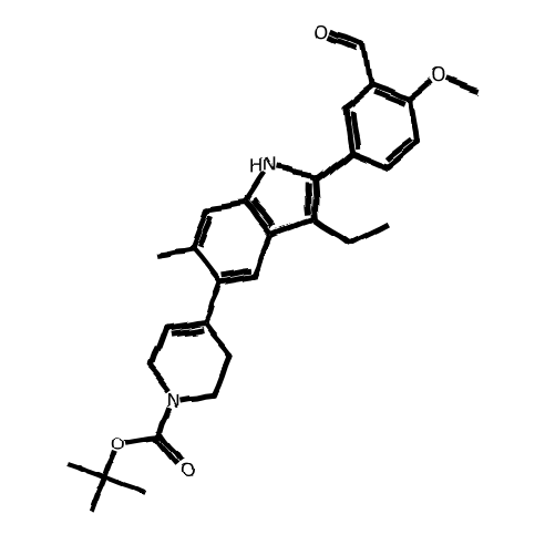 CCc1c(-c2ccc(OC)c(C=O)c2)[nH]c2cc(C)c(C3=CCN(C(=O)OC(C)(C)C)CC3)cc12